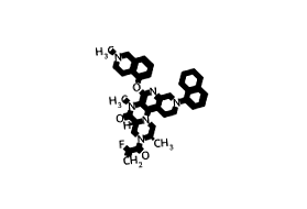 C=C(F)C(=O)N1C[C@@H]2C(=O)N(C)c3c(Oc4cccc5c4CCN(C)C5)nc4c(c3N2C[C@H]1C)CCN(c1cccc2c1CCCC2)C4